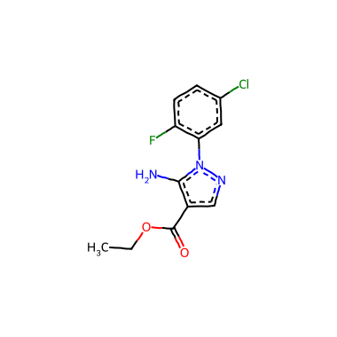 CCOC(=O)c1cnn(-c2cc(Cl)ccc2F)c1N